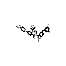 CN1CCN(c2ccc(C(=O)Nc3n[nH]c4ccc(Cc5cc(F)cc(F)c5)cc34)c(NC3COC3)c2)CC1